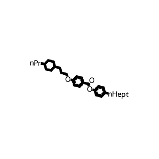 CCCCCCCc1ccc(OC(=O)c2ccc(OCCCC3CCC(CCC)CC3)cc2)cc1